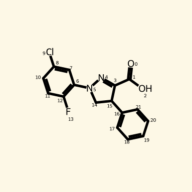 O=C(O)C1=NN(c2cc(Cl)ccc2F)CC1c1ccccc1